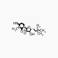 C=P(C)(C)CC[C@H]1OC(n2ccc(=N)n(C)c2=O)[C@H](O)[C@@H]1O